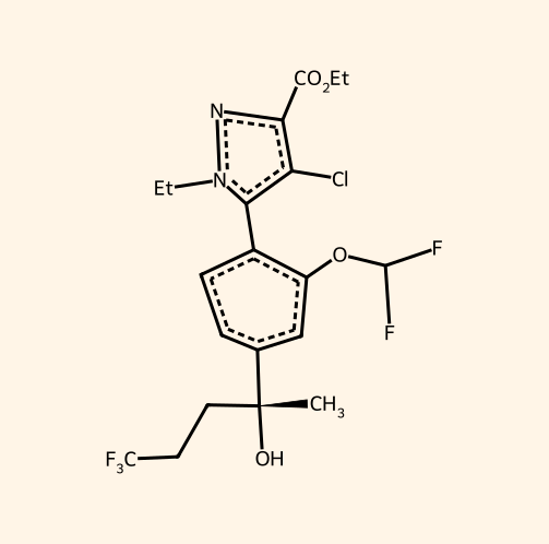 CCOC(=O)c1nn(CC)c(-c2ccc([C@](C)(O)CCC(F)(F)F)cc2OC(F)F)c1Cl